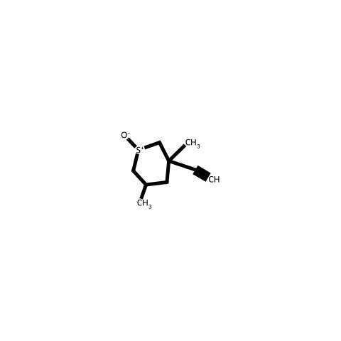 C#CC1(C)CC(C)C[S+]([O-])C1